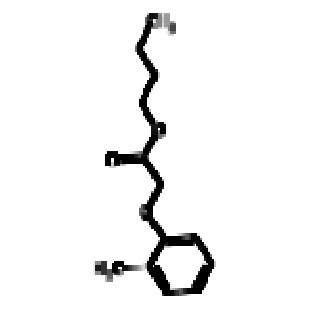 CCCCOC(=O)COc1ccccc1C